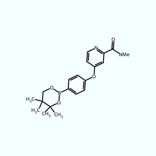 CNC(=O)c1cc(Oc2ccc(B3OCC(C)(C)C(C)(C)O3)cc2)ccn1